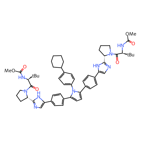 COC(=O)N[C@H](C(=O)N1CCC[C@H]1c1ncc(-c2ccc(-c3ccc(-c4ccc(-c5cnc([C@@H]6CCCN6C(=O)[C@@H](NC(=O)OC)C(C)(C)C)[nH]5)cc4)n3-c3ccc(C4CCCCC4)cc3)cc2)[nH]1)C(C)(C)C